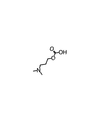 CN(C)CCCOC(=O)O